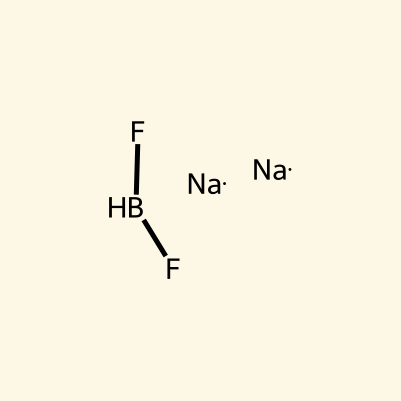 FBF.[Na].[Na]